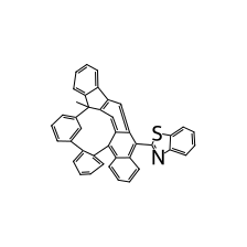 CC12c3cccc(c3)-c3ccccc3-c3c4ccccc4c(-c4nc5ccccc5s4)c4cc(c1cc34)-c1ccccc12